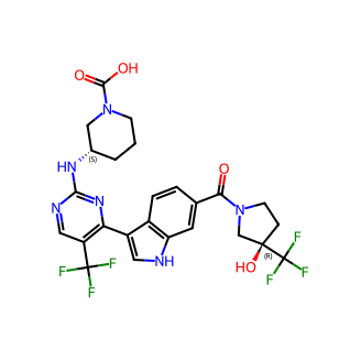 O=C(O)N1CCC[C@H](Nc2ncc(C(F)(F)F)c(-c3c[nH]c4cc(C(=O)N5CC[C@](O)(C(F)(F)F)C5)ccc34)n2)C1